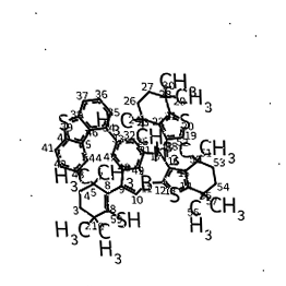 CC1(C)CCC(C)(C)C(C2=CB3c4sc5c(c4N(c4csc6c4C(C)(C)CCC6(C)C)c4cc(-c6cccc7sc8ccccc8c67)cc2c43)C(C)(C)CCC5(C)C)=C1S